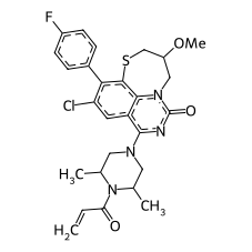 C=CC(=O)N1C(C)CN(c2nc(=O)n3c4c(c(-c5ccc(F)cc5)c(Cl)cc24)SCC(OC)C3)CC1C